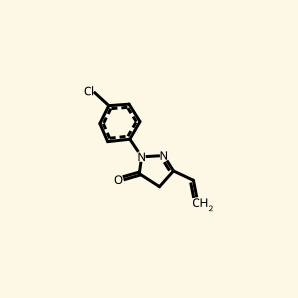 C=CC1=NN(c2ccc(Cl)cc2)C(=O)C1